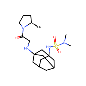 CN(C)S(=O)(=O)NC12CC3CC(CC(NCC(=O)N4CCC[C@H]4C#N)(C3)C1)C2